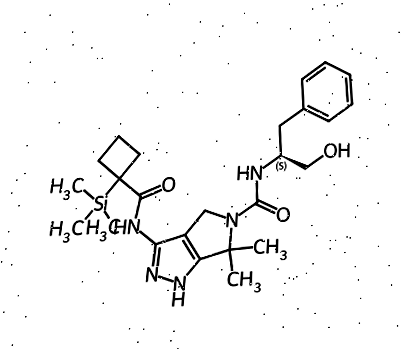 CC1(C)c2[nH]nc(NC(=O)C3([Si](C)(C)C)CCC3)c2CN1C(=O)N[C@H](CO)Cc1ccccc1